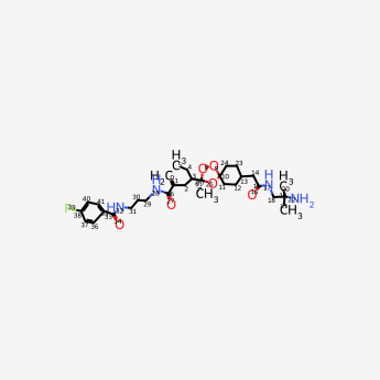 C=C(CC(CC)[C@@]1(C)OOC2(CCC(CC(=O)NCC(C)(C)N)CC2)O1)C(=O)NCCCNC(=O)c1ccc(F)cc1